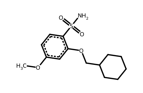 COc1ccc(S(N)(=O)=O)c(OCC2CCCCC2)c1